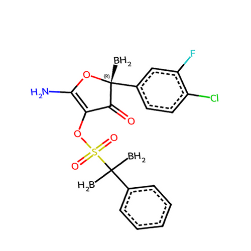 BC(B)(c1ccccc1)S(=O)(=O)OC1=C(N)O[C@](B)(c2ccc(Cl)c(F)c2)C1=O